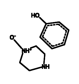 Oc1ccccc1.[O-][NH+]1CCNCC1